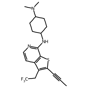 CC#Cc1sc2c(NC3CCC(N(C)C)CC3)nccc2c1CC(F)(F)F